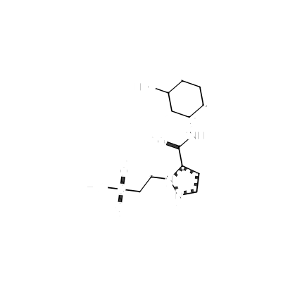 CC1CCC[C@H](NC(=O)c2ccnn2CCS(C)(=O)=O)C1